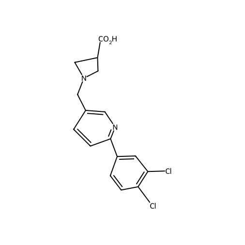 O=C(O)C1CN(Cc2ccc(-c3ccc(Cl)c(Cl)c3)nc2)C1